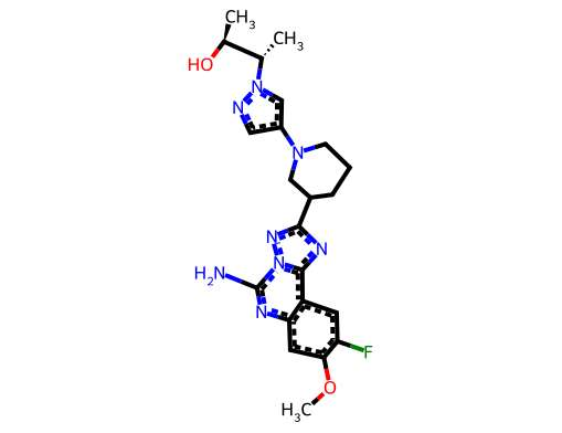 COc1cc2nc(N)n3nc(C4CCCN(c5cnn([C@@H](C)[C@H](C)O)c5)C4)nc3c2cc1F